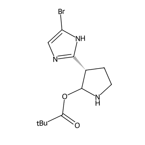 CC(C)(C)C(=O)OC1NCC[C@H]1c1ncc(Br)[nH]1